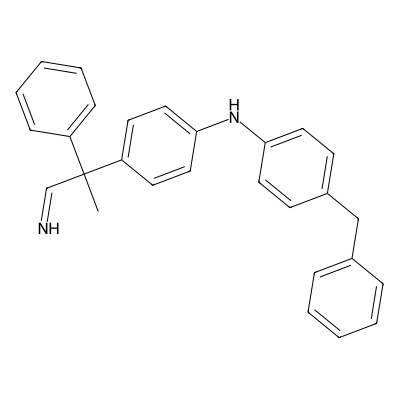 CC(C=N)(c1ccccc1)c1ccc(Nc2ccc(Cc3ccccc3)cc2)cc1